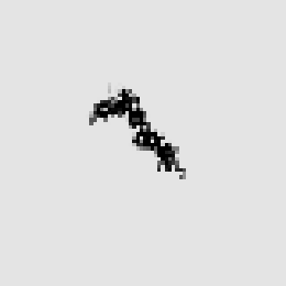 Nc1cc(-c2ccc3c(Oc4ccc(NC(=O)C5(C(=O)Nc6ccc(F)cc6)CC5)cc4)ccnc3c2)ccn1